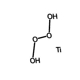 OOOO.[Ti]